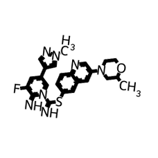 CC1CN(c2cnc3ccc(SC(=N)n4cc(-c5cnn(C)c5)cc(F)c4=N)cc3c2)CCO1